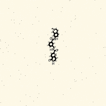 CN1CCc2ccc(NC(=O)c3cccc(CNC(=O)c4ccc5c(=O)[nH]ccc5n4)c3)cc2C1